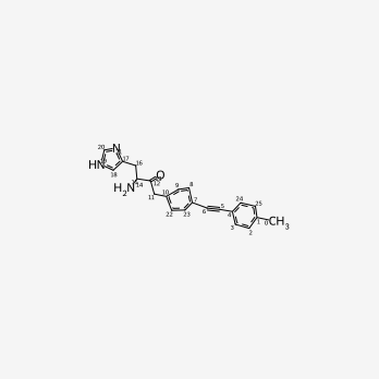 Cc1ccc(C#Cc2ccc(CC(=O)C(N)Cc3c[nH]cn3)cc2)cc1